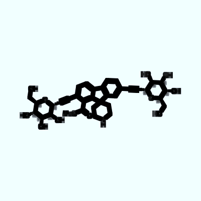 COC(=O)c1c(C#C[C@H]2O[C@H](CO)[C@@H](O)[C@H](O)[C@@H]2O)ccc2c1C1(CCNCC1)c1cc(C#C[C@H]3O[C@H](CO)[C@@H](O)[C@H](O)[C@@H]3O)ccc1-2